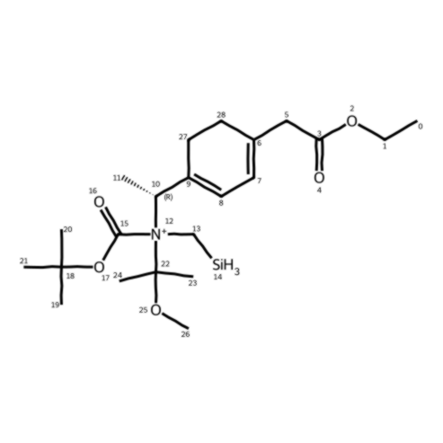 CCOC(=O)CC1=CC=C([C@@H](C)[N+](C[SiH3])(C(=O)OC(C)(C)C)C(C)(C)OC)CC1